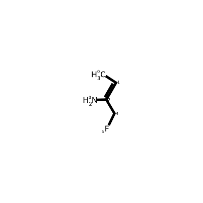 CC=C(N)CF